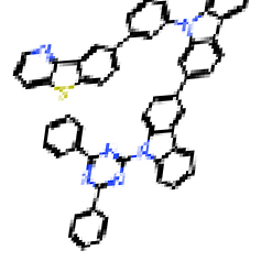 c1ccc(-c2nc(-c3ccccc3)nc(-n3c4ccccc4c4cc(-c5ccc6c7ccccc7n(-c7cccc(-c8ccc9sc%10cccnc%10c9c8)c7)c6c5)ccc43)n2)cc1